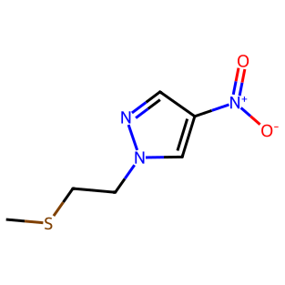 CSCCn1cc([N+](=O)[O-])cn1